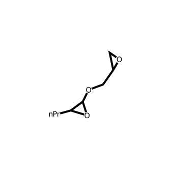 CCCC1OC1OCC1CO1